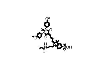 COc1ccc(N2C(=O)C(=C/C=C/C=C3/N(CCCNC(=O)CI)c4ccc(S(=O)(=O)O)cc4C3(C)C)C(=O)N(c3ccc(OC)cc3)C2=S)cc1